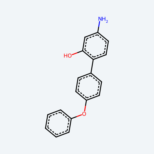 Nc1ccc(-c2ccc(Oc3ccccc3)cc2)c(O)c1